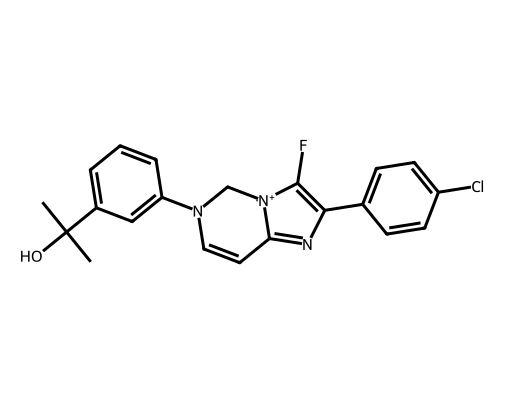 CC(C)(O)c1cccc(N2C=CC3=NC(c4ccc(Cl)cc4)=C(F)[N+]3C2)c1